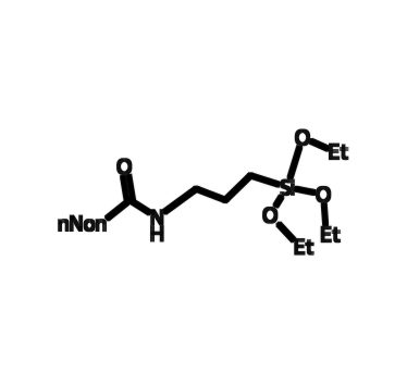 CCCCC[CH]CCCC(=O)NCCC[Si](OCC)(OCC)OCC